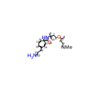 CNCCC(C)OCCC(C)(C)NC(=O)C1(C)C=CC=C(CCCN)C=C1